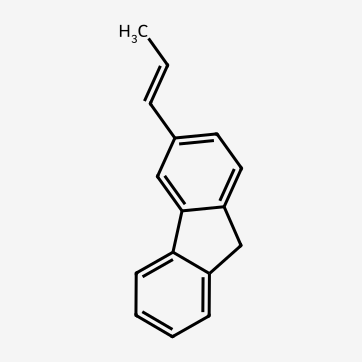 CC=Cc1ccc2c(c1)-c1ccccc1C2